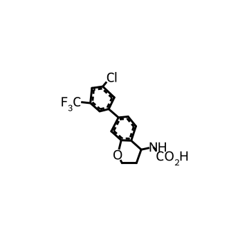 O=C(O)NC1CCOc2cc(-c3cc(Cl)cc(C(F)(F)F)c3)ccc21